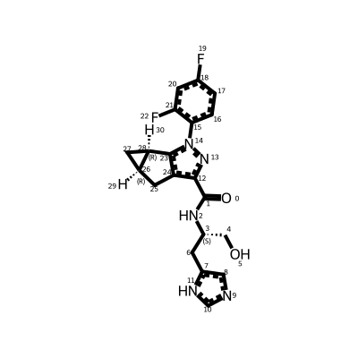 O=C(N[C@H](CO)Cc1cnc[nH]1)c1nn(-c2ccc(F)cc2F)c2c1C[C@H]1C[C@@H]21